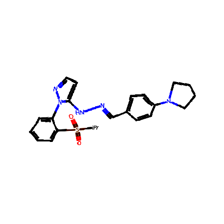 CC(C)S(=O)(=O)c1ccccc1-n1nccc1NN=Cc1ccc(N2CCCC2)cc1